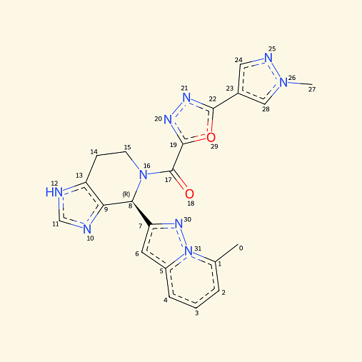 Cc1cccc2cc([C@H]3c4nc[nH]c4CCN3C(=O)c3nnc(-c4cnn(C)c4)o3)nn12